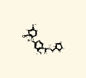 CC(C)c1cc(Nc2ccc(F)cc2Cl)ncc1C(=O)NCC1CCCC1